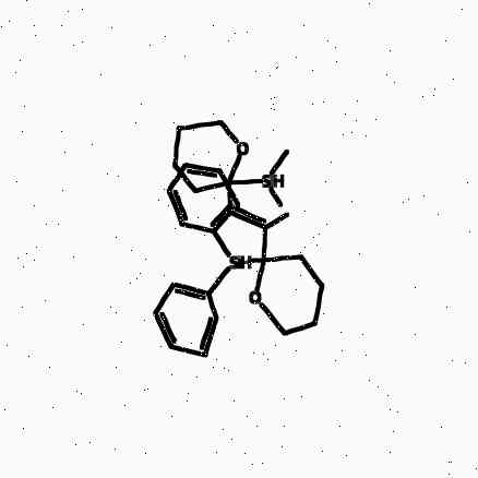 CC(=CC1([SiH](C)C)CCCCO1)C1([SiH](c2ccccc2)c2ccccc2)CCCCO1